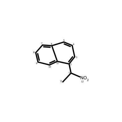 [CH2]C(c1cccc2ccccc12)[N+](=O)[O-]